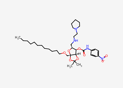 CCCCCCCCCCCCOC[C@@]12O[C@@H](CNCCN3CCCCC3)[C@@H](OC(=O)Nc3ccc([N+](=O)[O-])cc3)[C@@H]1OC(C)(C)O2